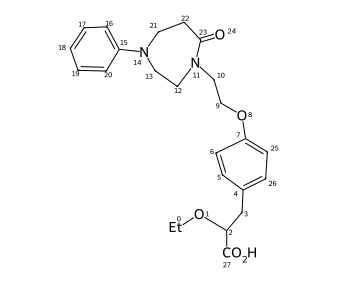 CCOC(Cc1ccc(OCCN2CCN(c3ccccc3)CCC2=O)cc1)C(=O)O